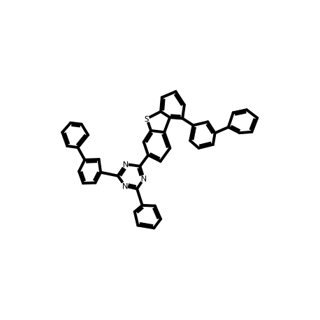 c1ccc(-c2cccc(-c3nc(-c4ccccc4)nc(-c4ccc5c(c4)sc4cccc(-c6cccc(-c7ccccc7)c6)c45)n3)c2)cc1